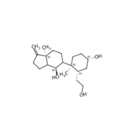 C=C1CCC2[C@H](O)C([C@@]3(C)CC[C@H](O)C[C@@H]3CCO)CC[C@]12C